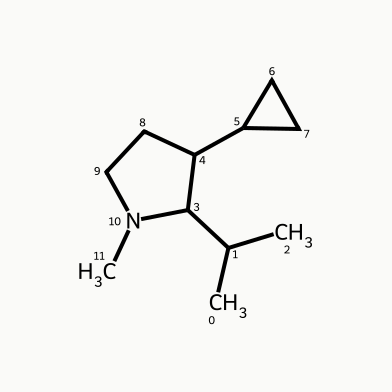 CC(C)C1C(C2CC2)CCN1C